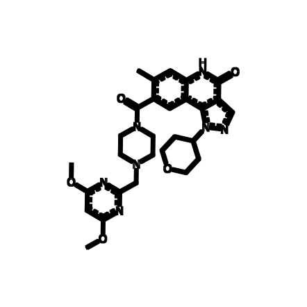 COc1cc(OC)nc(CN2CCN(C(=O)c3cc4c(cc3C)[nH]c(=O)c3cnn(C5CCOCC5)c34)CC2)n1